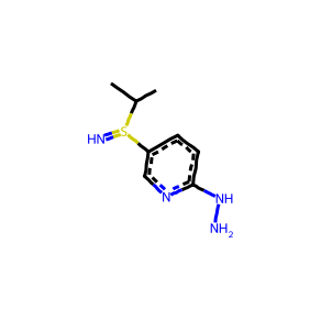 CC(C)S(=N)c1ccc(NN)nc1